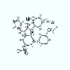 CCOc1cccc(-c2cc([N+](=O)[O-])cc3cc(C(N)(c4ccc(C#N)cc4)c4cncn4C)oc23)c1